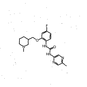 Cc1cnc(NC(=O)Nc2ccc(F)cc2OCC2CCCN(C)C2)cn1